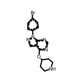 Brc1ccc(-n2ncc3c(OC4CCNCC4)ncnc32)cc1